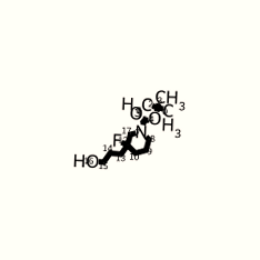 CC(C)(C)OC(=O)N1CCCC(F)(CCCO)C1